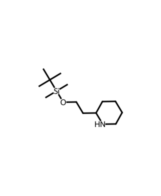 CC(C)(C)[Si](C)(C)OCCC1CCCCN1